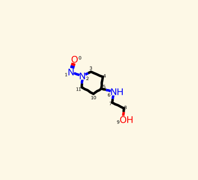 O=NN1CCC(NCCO)CC1